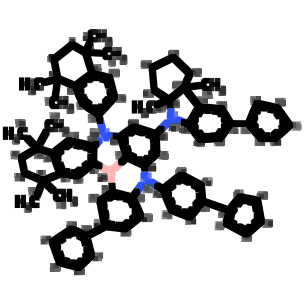 CC1(C)CCC(C)(C)c2cc(N3c4cc5c(cc4B4c6cc(-c7ccccc7)ccc6N(c6ccc(-c7ccccc7)cc6)c6cc(N7c8ccc(-c9ccccc9)cc8C8(C)CCCCC78C)cc3c64)C(C)(C)CCC5(C)C)ccc21